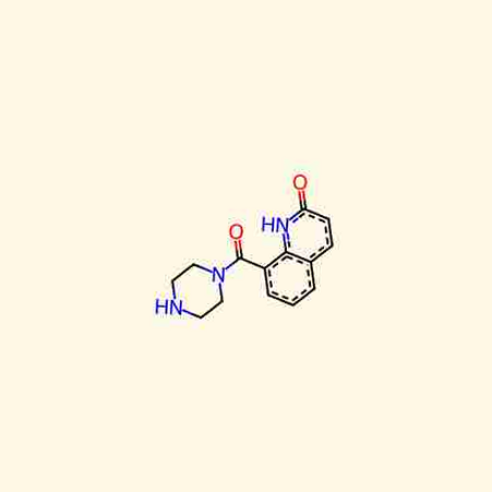 O=C(c1cccc2ccc(=O)[nH]c12)N1CCNCC1